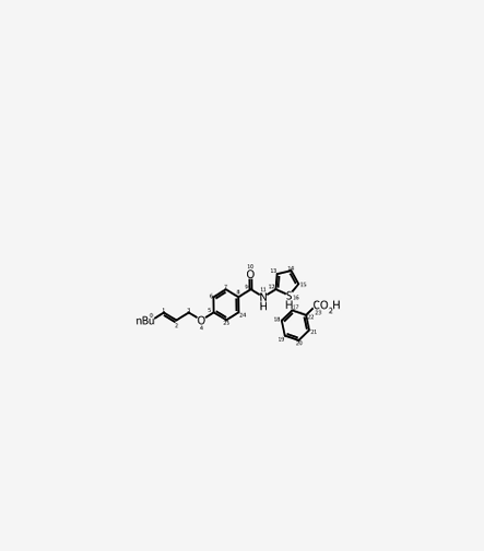 CCCC/C=C/COc1ccc(C(=O)NC2=CC=C[SH]2c2ccccc2C(=O)O)cc1